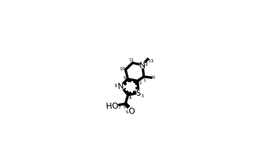 CC1c2sc(C(=O)O)nc2CCN1C